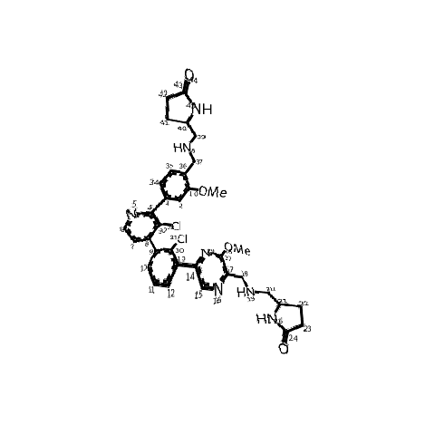 COc1cc(-c2nccc(-c3cccc(-c4cnc(CNCC5CCC(=O)N5)c(OC)n4)c3Cl)c2Cl)ccc1CNCC1CCC(=O)N1